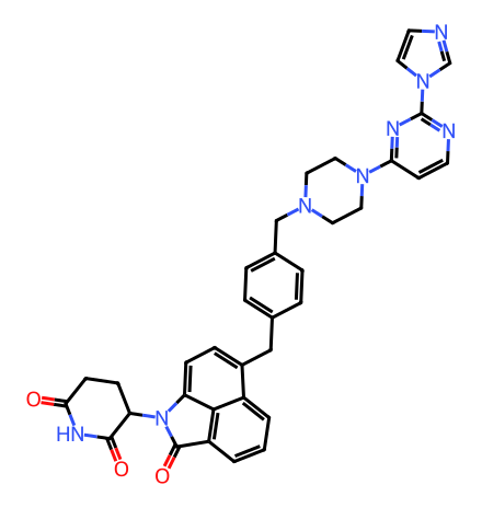 O=C1CCC(N2C(=O)c3cccc4c(Cc5ccc(CN6CCN(c7ccnc(-n8ccnc8)n7)CC6)cc5)ccc2c34)C(=O)N1